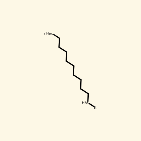 CCCCCCCCCCCCCCC[AsH][K]